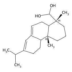 CC(C)C1=CC2=CCC3[C@](C)(C(O)O)CCC[C@]3(C)C2CC1